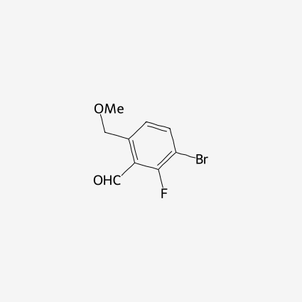 COCc1ccc(Br)c(F)c1C=O